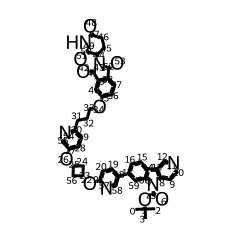 CC(C)(C)OC(=O)n1c2ccncc2c2ccc(-c3ccc(OC4CC(Oc5ccc(CCCOc6ccc7c(c6)C(=O)N(C6CCC(=O)NC6=O)C7=O)nc5)C4)nc3)cc21